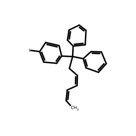 C/C=C\C=C/CC(c1ccccc1)(c1ccccc1)c1ccc(I)cc1